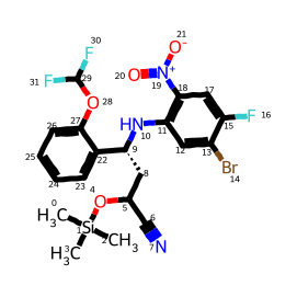 C[Si](C)(C)OC(C#N)C[C@@H](Nc1cc(Br)c(F)cc1[N+](=O)[O-])c1ccccc1OC(F)F